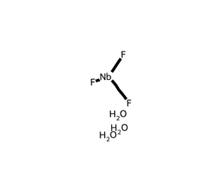 O.O.O.[F][Nb]([F])[F]